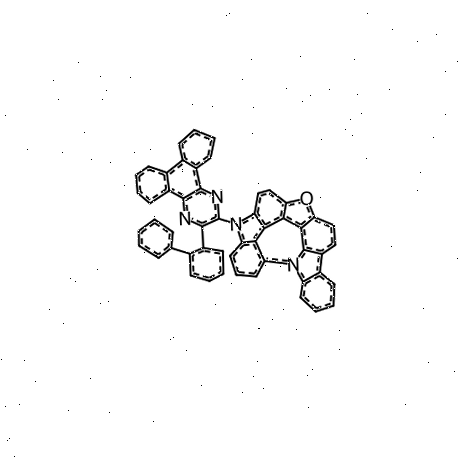 c1ccc(-c2ccccc2-c2nc3c4ccccc4c4ccccc4c3nc2-n2c3ccc4oc5ccc6c7ccccc7n7c8cccc2c8c3c4c5c67)cc1